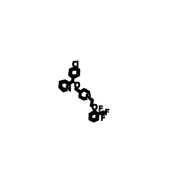 FC(F)(F)c1ccccc1OCCN1CCC(CO[C@@H](c2ccc(Cl)cc2)c2ccccn2)CC1